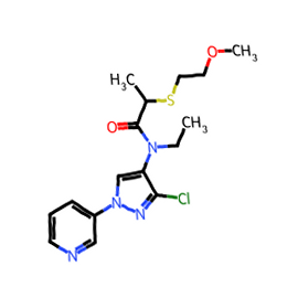 CCN(C(=O)C(C)SCCOC)c1cn(-c2cccnc2)nc1Cl